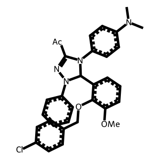 COc1cccc(C2N(c3ccccc3)N=C(C(C)=O)N2c2ccc(N(C)C)cc2)c1OCc1ccc(Cl)cc1